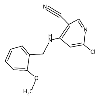 COc1ccccc1CNc1cc(Cl)ncc1C#N